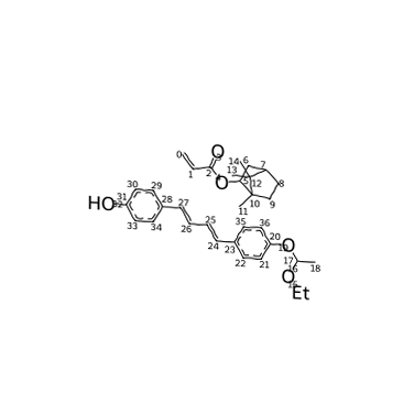 C=CC(=O)OC1CC2CCC1(C)C2(C)C.CCOC(C)Oc1ccc(C=CC=Cc2ccc(O)cc2)cc1